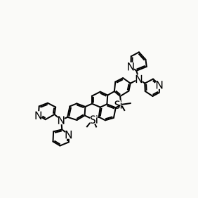 C[Si]1(C)c2cc(N(c3cccnc3)c3ccccn3)ccc2-c2ccc3c4c(ccc1c24)[Si](C)(C)c1cc(N(c2cccnc2)c2ccccn2)ccc1-3